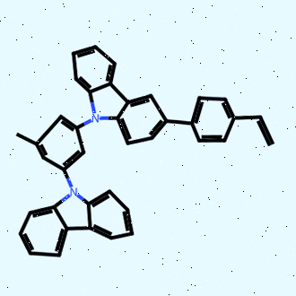 C=Cc1ccc(-c2ccc3c(c2)c2ccccc2n3-c2cc(C)cc(-n3c4ccccc4c4ccccc43)c2)cc1